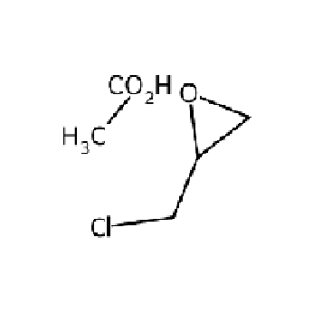 CC(=O)O.ClCC1CO1